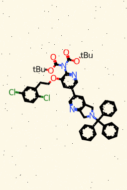 CC(C)(C)OC(=O)N(C(=O)OC(C)(C)C)c1ncc(-c2cnc3c(c2)CN(C(c2ccccc2)(c2ccccc2)c2ccccc2)C3)cc1OCCc1cc(Cl)ccc1Cl